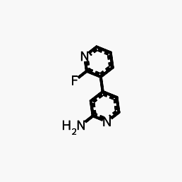 Nc1cc(-c2cccnc2F)ccn1